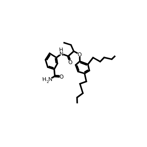 CCCCCc1ccc(OC(CC)C(=O)Nc2cccc(C(N)=O)c2)c(CCCCC)c1